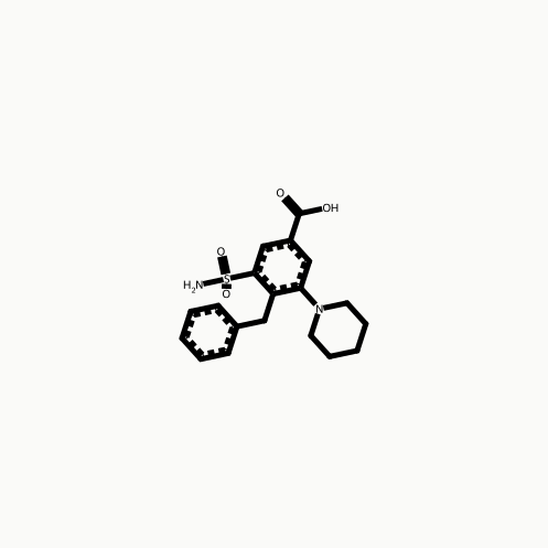 NS(=O)(=O)c1cc(C(=O)O)cc(N2CCCCC2)c1Cc1ccccc1